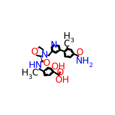 Cc1cc(C(N)=O)ccc1-c1cncc(CN2CCOC[C@@H]2C(=O)N[C@@H](C)c2ccc(C(=O)O)c(O)c2)c1